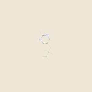 Cc1ncc(CC(C)(C)C(C)C)cn1